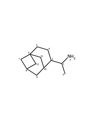 CC(N)C1CCC23CC(CC1C2)C3